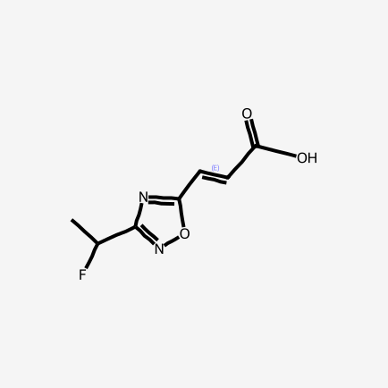 CC(F)c1noc(/C=C/C(=O)O)n1